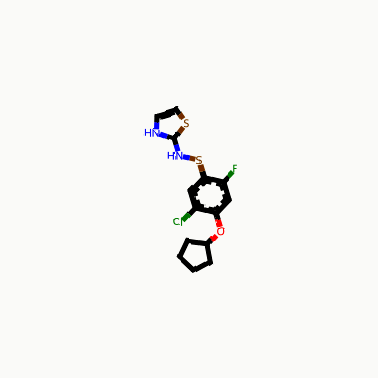 Fc1cc(OC2CCCC2)c(Cl)cc1SNC1NC=CS1